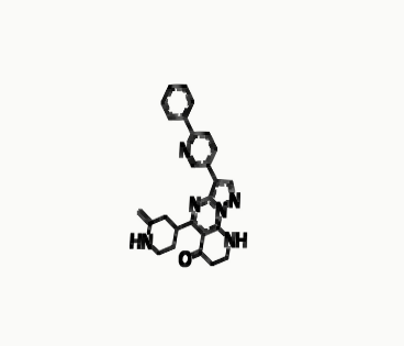 C=C1CC(c2nc3c(-c4ccc(-c5ccccc5)nc4)cnn3c3c2C(=O)CCN3)CCN1